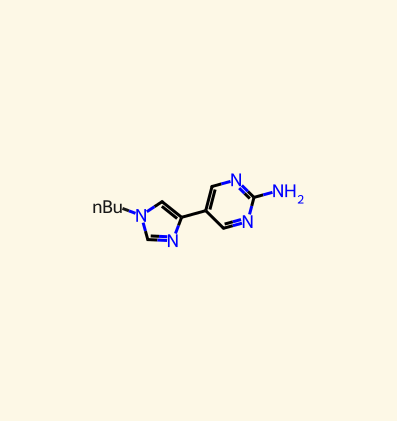 [CH2]CCCn1cnc(-c2cnc(N)nc2)c1